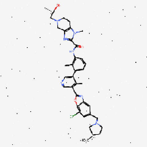 Cc1c(NC(=O)c2nc3c(n2C)CCN(C[C@H](C)O)C3)cccc1-c1cncc(-c2nc3cc(CN4CC[C@@H](C(=O)O)C4)cc(Cl)c3o2)c1C